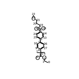 CCOC(=O)C(C)(C)c1ccc(-c2ccc(S(=O)(=O)CCCOC)cc2)cc1